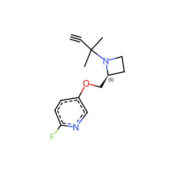 C#CC(C)(C)N1CC[C@H]1COc1ccc(F)nc1